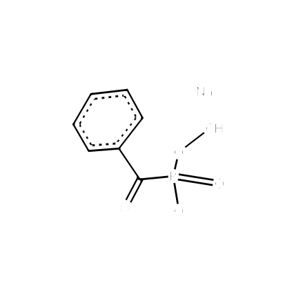 COP(=O)([O-])C(=O)c1ccccc1.[Na+]